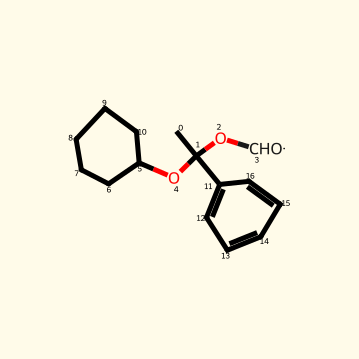 CC(O[C]=O)(OC1CCCCC1)c1ccccc1